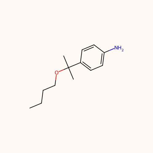 CCCCOC(C)(C)c1ccc(N)cc1